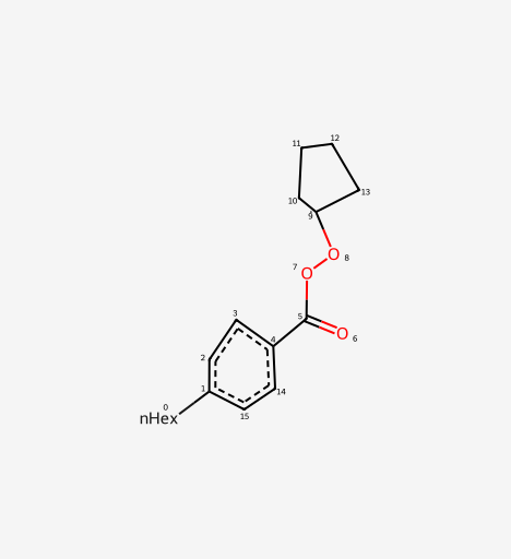 CCCCCCc1ccc(C(=O)OO[C]2CCCC2)cc1